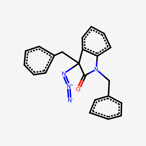 [N-]=[N+]=NC1(Cc2ccccc2)C(=O)N(Cc2ccccc2)c2ccccc21